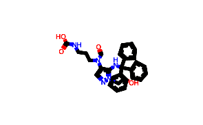 O=CN(CCCNC(=O)O)c1cnn(CCO)c1NC(c1ccccc1)(c1ccccc1)c1ccccc1